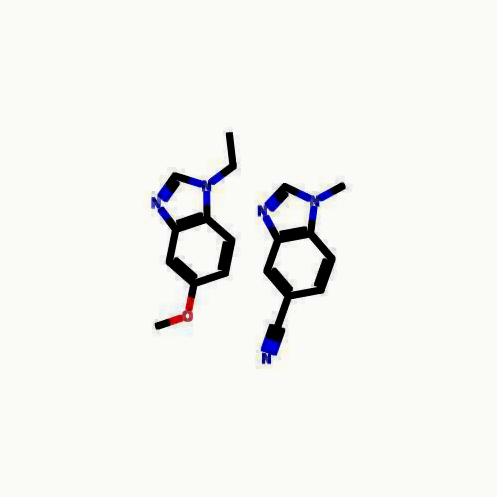 CCn1cnc2cc(OC)ccc21.Cn1cnc2cc(C#N)ccc21